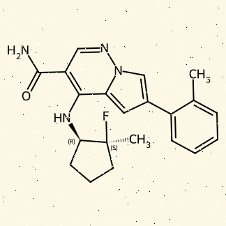 Cc1ccccc1-c1cc2c(N[C@@H]3CCC[C@]3(C)F)c(C(N)=O)cnn2c1